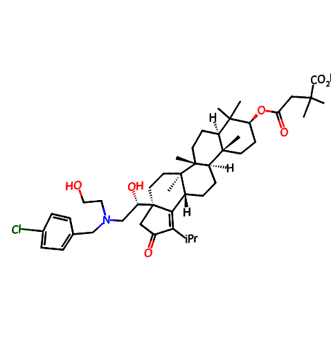 CC(C)C1=C2[C@H]3CC[C@@H]4[C@@]5(C)CC[C@H](OC(=O)CC(C)(C)C(=O)O)C(C)(C)[C@@H]5CC[C@@]4(C)[C@]3(C)CC[C@@]2([C@@H](O)CN(CCO)Cc2ccc(Cl)cc2)CC1=O